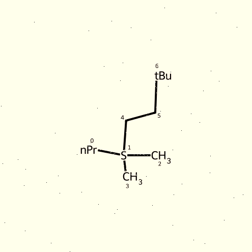 CCCS(C)(C)CCC(C)(C)C